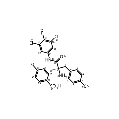 C[C@@](N)(Cc1ccc(C#N)cc1)C(=O)Nc1cc(Cl)c(F)c(Cl)c1.Cc1ccc(S(=O)(=O)O)cc1